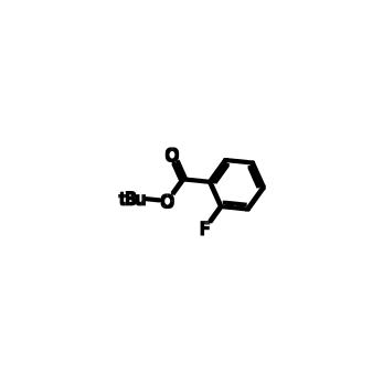 CC(C)(C)OC(=O)c1ccccc1F